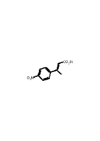 CCOC(=O)C=C(C)c1ccc([N+](=O)[O-])cc1